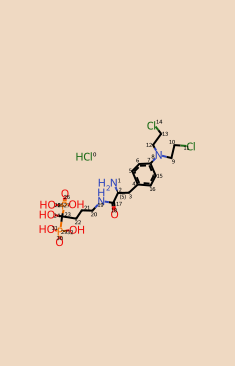 Cl.N[C@@H](Cc1ccc(N(CCCl)CCCl)cc1)C(=O)NCCCC(O)(P(=O)(O)O)P(=O)(O)O